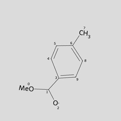 COC([O])c1ccc(C)cc1